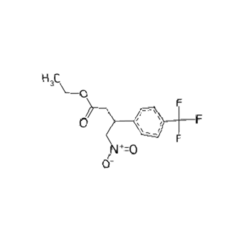 CCOC(=O)CC(C[N+](=O)[O-])c1ccc(C(F)(F)F)cc1